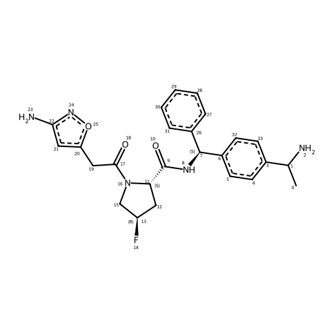 CC(N)c1ccc([C@@H](NC(=O)[C@@H]2C[C@@H](F)CN2C(=O)Cc2cc(N)no2)c2ccccc2)cc1